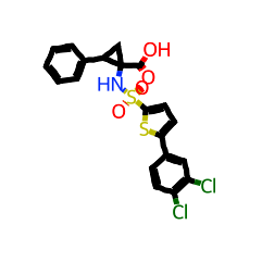 O=C(O)C1(NS(=O)(=O)c2ccc(-c3ccc(Cl)c(Cl)c3)s2)CC1c1ccccc1